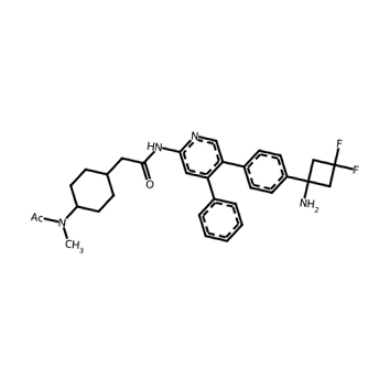 CC(=O)N(C)C1CCC(CC(=O)Nc2cc(-c3ccccc3)c(-c3ccc(C4(N)CC(F)(F)C4)cc3)cn2)CC1